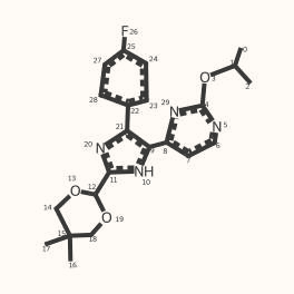 CC(C)Oc1nccc(-c2[nH]c(C3OCC(C)(C)CO3)nc2-c2ccc(F)cc2)n1